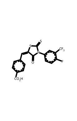 O=C(O)c1ccc(C=C2SC(=S)N(c3ccc(F)c(C(F)(F)F)c3)C2=O)cc1